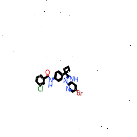 O=C(Nc1ccc(C2(c3nc4ncc(Br)cc4[nH]3)CCC2)cc1)c1cccc(Cl)c1